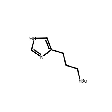 CCCC[CH]CCc1c[nH]cn1